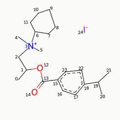 CC(C[N+](C)(C)C1CCCCC1)OC(=O)c1ccc(C(C)C)cc1.[I-]